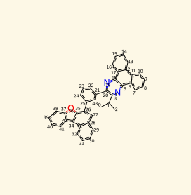 CC(C)c1nc2c3ccccc3c3ccccc3c2nc1-c1cccc(-c2cc3ccccc3c3c2oc2ccccc23)c1